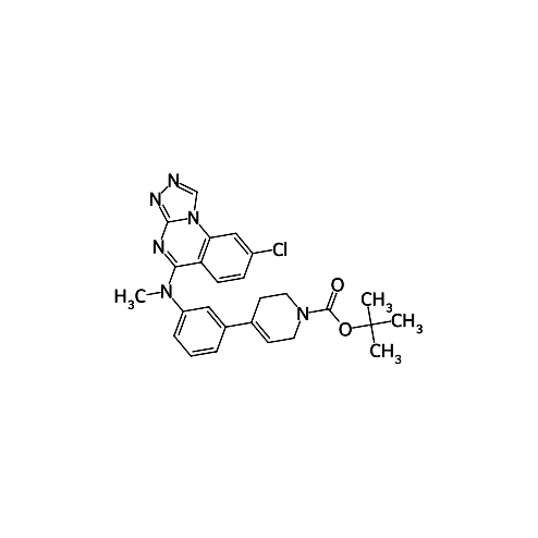 CN(c1cccc(C2=CCN(C(=O)OC(C)(C)C)CC2)c1)c1nc2nncn2c2cc(Cl)ccc12